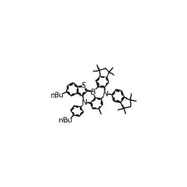 CCCCc1ccc(N2c3cc(C)cc4c3B(c3cc5c(cc3N4c3ccc4c(c3)C(C)(C)CC4(C)C)C(C)(C)CC5(C)C)c3sc4ccc(CCCC)cc4c32)cc1